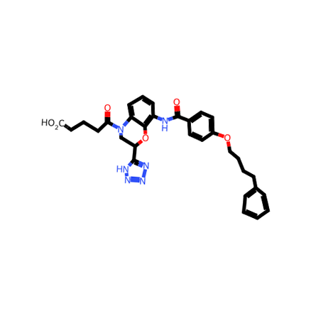 O=C(O)CCCC(=O)N1CC(c2nnn[nH]2)Oc2c(NC(=O)c3ccc(OCCCCc4ccccc4)cc3)cccc21